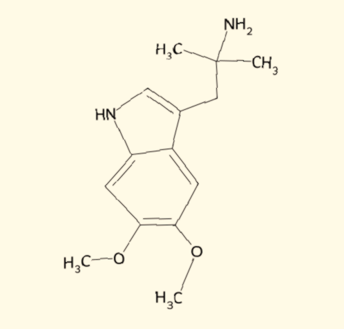 COc1cc2[nH]cc(CC(C)(C)N)c2cc1OC